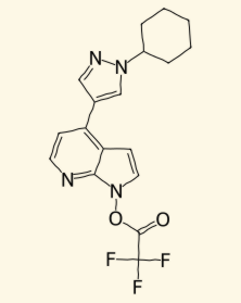 O=C(On1ccc2c(-c3cnn(C4CCCCC4)c3)ccnc21)C(F)(F)F